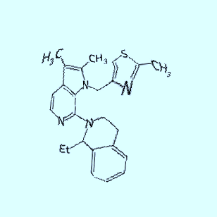 CCC1c2ccccc2CCN1c1nccc2c(C)c(C)n(Cc3csc(C)n3)c12